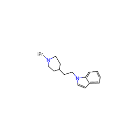 CC(C)N1CCC(CCn2ccc3ccccc32)CC1